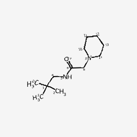 CC(C)(C)CNC(=O)CN1CCCCC1